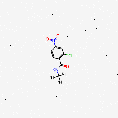 [2H]C([2H])([2H])NC(=O)c1ccc([N+](=O)[O-])cc1Cl